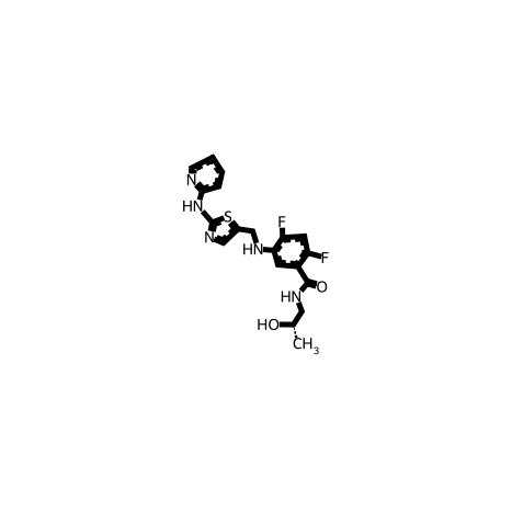 C[C@H](O)CNC(=O)c1cc(NCc2cnc(Nc3ccccn3)s2)c(F)cc1F